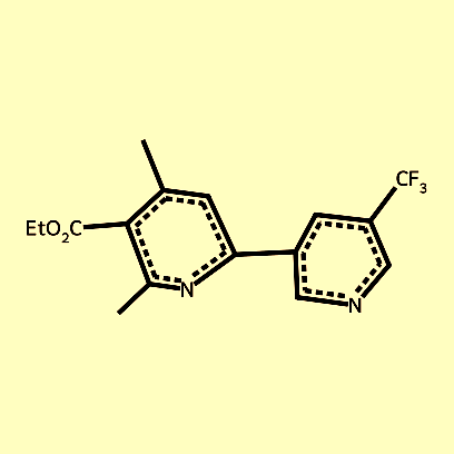 CCOC(=O)c1c(C)cc(-c2cncc(C(F)(F)F)c2)nc1C